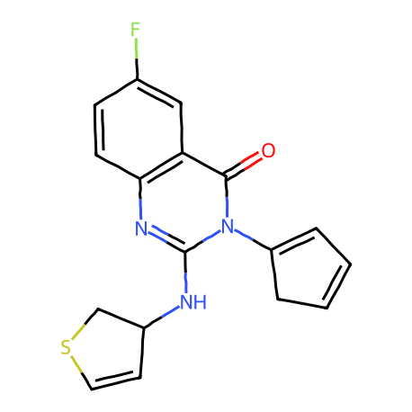 O=c1c2cc(F)ccc2nc(NC2C=CSC2)n1C1=CC=CC1